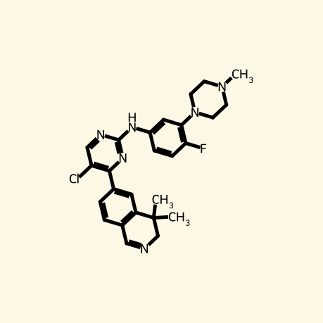 CN1CCN(c2cc(Nc3ncc(Cl)c(-c4ccc5c(c4)C(C)(C)CN=C5)n3)ccc2F)CC1